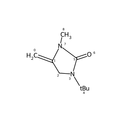 C=C1CN(C(C)(C)C)C(=O)N1C